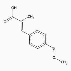 COSc1ccc(/C=C(\C)C(=O)O)cc1